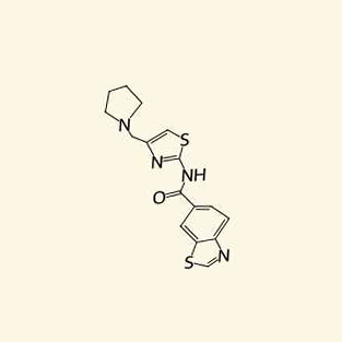 O=C(Nc1nc(CN2CCCC2)cs1)c1ccc2ncsc2c1